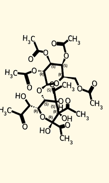 CC(=O)OC[C@H]1O[C@@H](O[C@H]2[C@@H](C(O)C(C)=O)O[C@@](O)(C(C)=O)[C@@](O)(C(C)=O)[C@]2(O)C(C)=O)[C@H](OC(C)=O)[C@@H](OC(C)=O)[C@H]1OC(C)=O